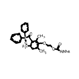 CNC(=O)OCCOc1c(C)cc(C)c(C(=O)P(=O)(c2ccccc2)c2ccccc2)c1C